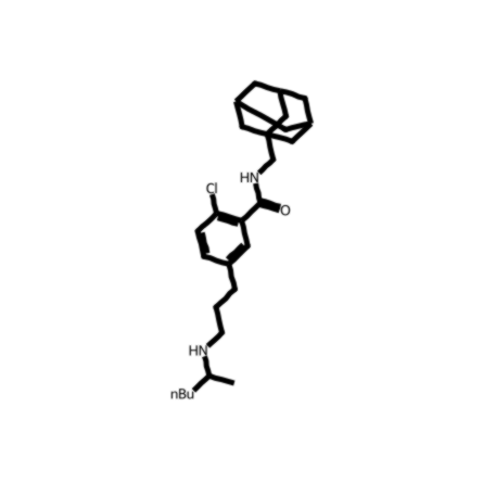 CCCCC(C)NCCCc1ccc(Cl)c(C(=O)NCC23CC4CC(CC(C4)C2)C3)c1